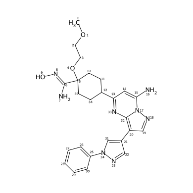 COCCOC1(/C(N)=N/O)CCC(c2cc(N)n3ncc(-c4cnn(-c5ccccc5)c4)c3n2)CC1